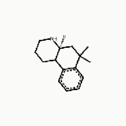 CC1(C)C[C@@H]2NCCCC2c2ccccc21